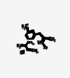 C=CC(=C)C.CCNC(C)Cc1cccc(C(F)(F)F)c1.Cl